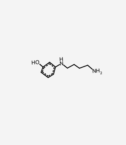 NCCCCNc1cccc(O)c1